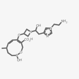 CC1/C=C\C(OC2CN(C(O)Cc3cn(CCN)cn3)C2)=C(\C(=O)O)COB(O)CC1